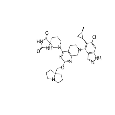 C[C@@H]1C[C@@H]1c1c(Cl)cc2[nH]ncc2c1N1CCc2c(nc(OCC34CCCN3CCC4)nc2N2CCC[C@]3(C2)NC(=O)NC3=O)C1